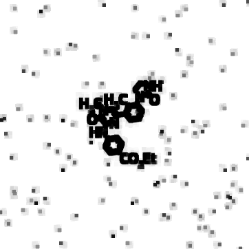 CCOC(=O)c1ccc(Nc2nc(-c3cccc(N4CCNC4=O)c3C)cn(C)c2=O)cc1